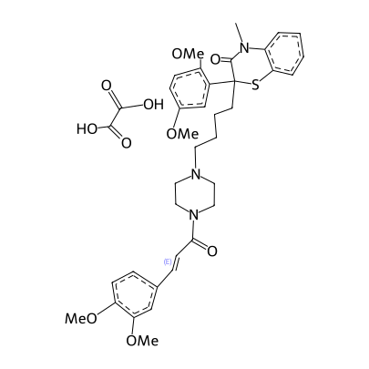 COc1ccc(OC)c(C2(CCCCN3CCN(C(=O)/C=C/c4ccc(OC)c(OC)c4)CC3)Sc3ccccc3N(C)C2=O)c1.O=C(O)C(=O)O